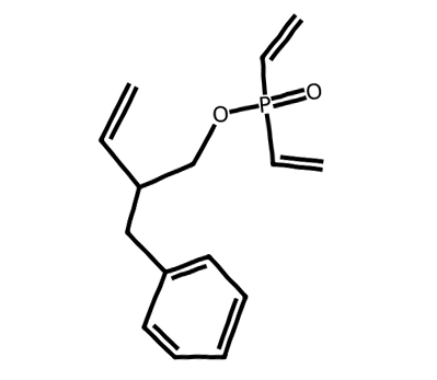 C=CC(COP(=O)(C=C)C=C)Cc1ccccc1